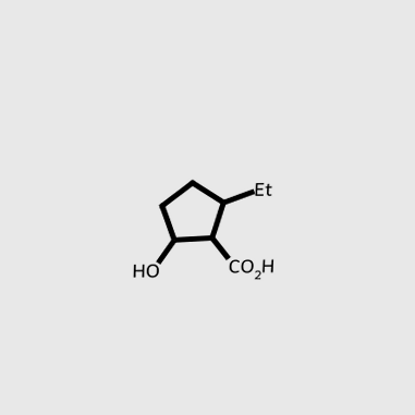 CCC1CCC(O)C1C(=O)O